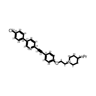 CCCC1CCN(CCOc2ccc(C#Cc3ccc(-c4ccc(Cl)cc4)cn3)cc2)CC1